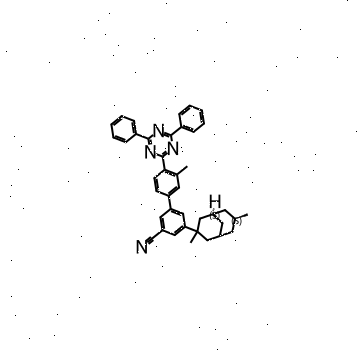 Cc1cc(-c2cc(C#N)cc(C3(C)CC4C[C@H](C)C[C@@H](C4)C3)c2)ccc1-c1nc(-c2ccccc2)nc(-c2ccccc2)n1